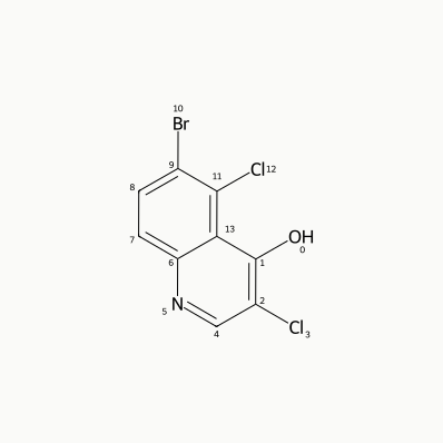 Oc1c(Cl)cnc2ccc(Br)c(Cl)c12